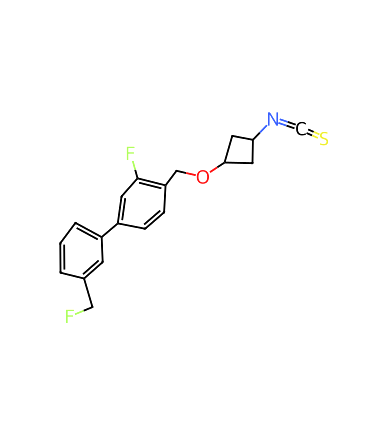 FCc1cccc(-c2ccc(COC3CC(N=C=S)C3)c(F)c2)c1